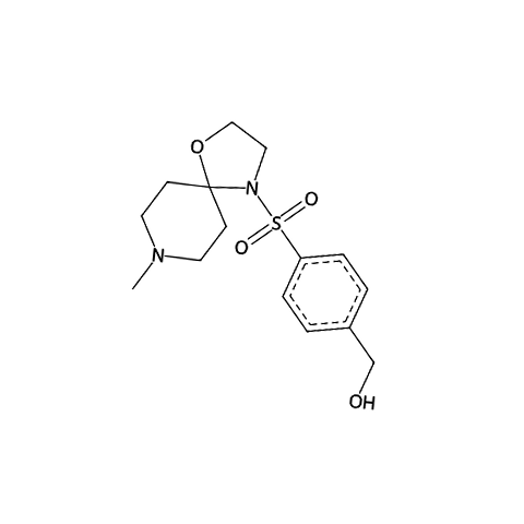 CN1CCC2(CC1)OCCN2S(=O)(=O)c1ccc(CO)cc1